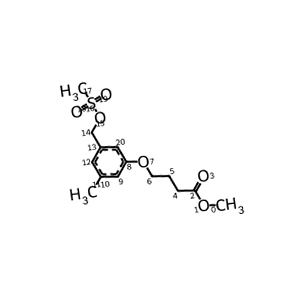 COC(=O)CCCOc1cc(C)cc(COS(C)(=O)=O)c1